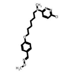 CON=Cc1ccc(OCCCCCCN(C)c2ccc(Cl)nn2)cc1